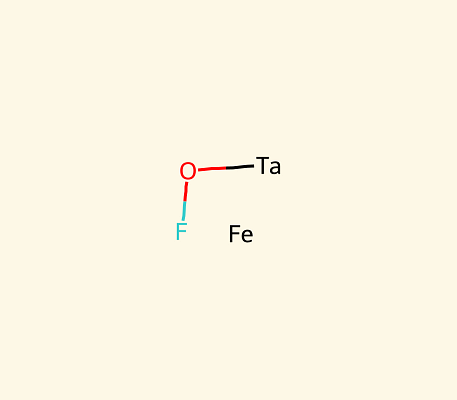 F[O][Ta].[Fe]